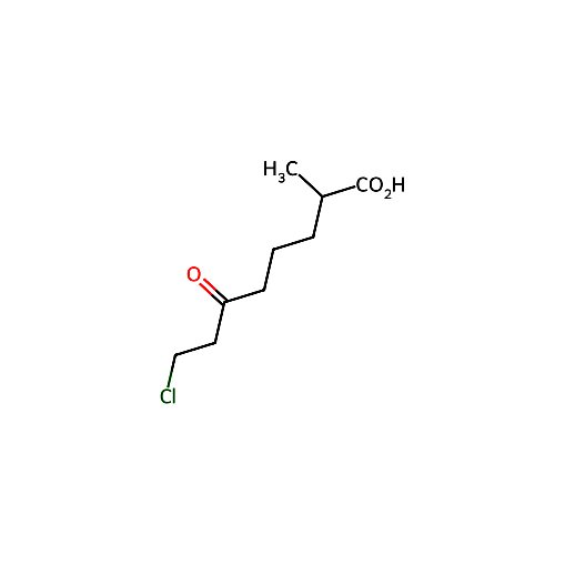 CC(CCCC(=O)CCCl)C(=O)O